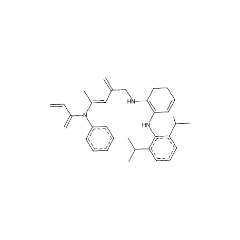 C=CC(=C)N(/C(C)=C/C(=C)CNC1=C(Nc2c(C(C)C)cccc2C(C)C)C=CCC1)c1ccccc1